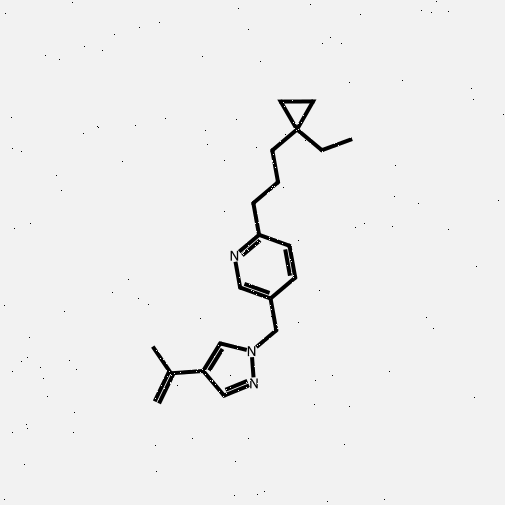 C=C(C)c1cnn(Cc2ccc(CCCC3(CC)CC3)nc2)c1